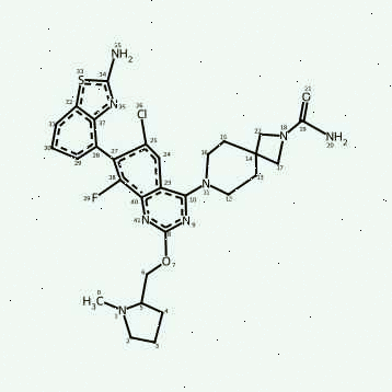 CN1CCCC1COc1nc(N2CCC3(CC2)CN(C(N)=O)C3)c2cc(Cl)c(-c3cccc4sc(N)nc34)c(F)c2n1